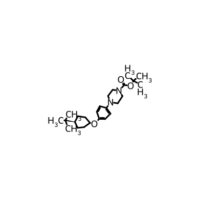 CC(C)(C)OC(=O)N1CCN(c2ccc(O[C@H]3CC[C@H](C(C)(C)C)CC3)cc2)CC1